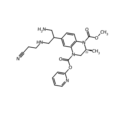 COC(=O)N1c2ccc(C(CN)CNCCC#N)cc2N(C(=O)Oc2ccccn2)C[C@@H]1C